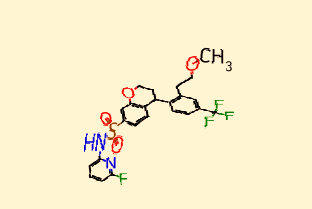 COCCc1cc(C(F)(F)F)ccc1C1CCOc2cc(S(=O)(=O)Nc3cccc(F)n3)ccc21